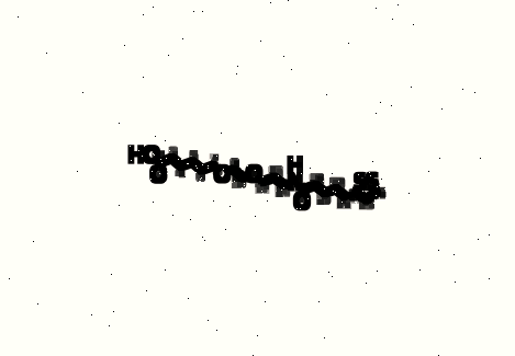 O=C(O)CCCCCOCCOCCCNC(=O)CCCC[C@@H]1CCSS1